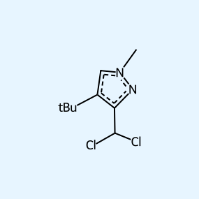 Cn1cc(C(C)(C)C)c(C(Cl)Cl)n1